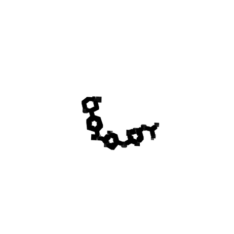 FC(F)Oc1cnc(Oc2cnc(Nc3ccc(C4CNCCO4)cc3)nc2)nc1